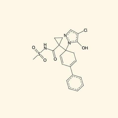 CS(=O)(=O)NC(=O)C1(C2(n3ncc(Cl)c3O)C=CC(c3ccccc3)=CC2)CC1